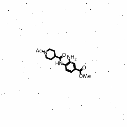 COC(=O)c1ccc(NC(=O)C2CCN(C(C)=O)CC2)c(N)c1